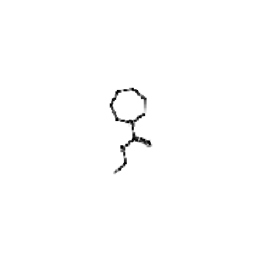 CCSC(=S)N1CCCCCC1